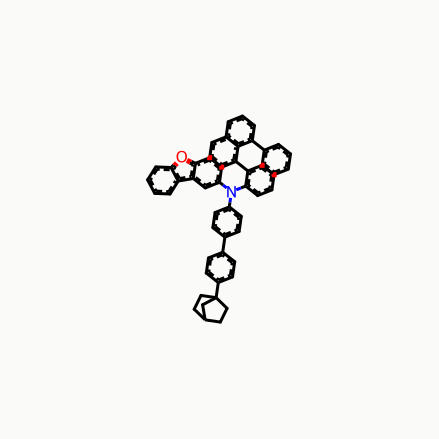 c1ccc(-c2cccc3cccc(-c4ccccc4N(c4ccc(-c5ccc(C67CCC(CC6)C7)cc5)cc4)c4ccc5oc6ccccc6c5c4)c23)cc1